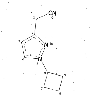 N#CCc1ccn(C2CCC2)n1